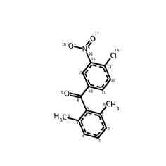 Cc1cccc(C)c1C(=O)c1ccc(Cl)c([N+](=O)[O-])c1